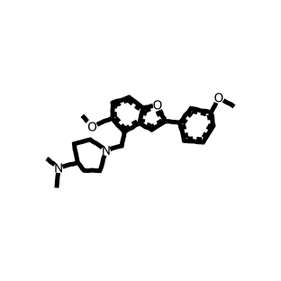 COc1cccc(-c2cc3c(CN4CCC(N(C)C)CC4)c(OC)ccc3o2)c1